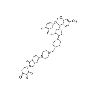 O=C1CC[C@H](N2Cc3cc(N4CCN(CC5CCN(c6ccc([C@@H]7c8ccc(O)cc8OC[C@@H]7c7ccc(F)c(F)c7)cc6F)CC5)CC4)ccc3C2=O)C(=O)N1